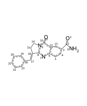 NC(=O)c1ccc2nc3n(c(=O)c2c1)CCC3=Cc1ccccc1